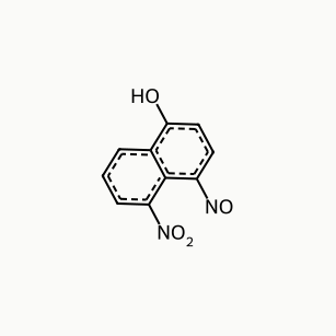 O=Nc1ccc(O)c2cccc([N+](=O)[O-])c12